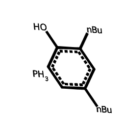 CCCCc1ccc(O)c(CCCC)c1.P